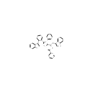 O=C(NC(Cc1c[nH]c2ccccc12)c1nnc(-c2ccccc2-c2c[nH]c3ccccc23)n1-c1ccccc1)c1ccccn1